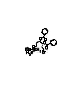 CC(C)(C)[Si](C)(C)OCC[C@@H](OC(=O)c1ccccc1)[C@@H](CCBr)OC(=O)c1ccccc1